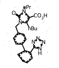 CCCCc1c(C(=O)O)n(CCC)c(=O)n1Cc1ccc(-c2ccccc2-c2nnn[nH]2)cc1